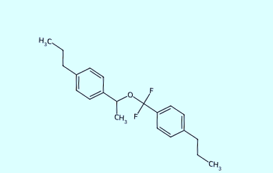 CCCc1ccc(C(C)OC(F)(F)c2ccc(CCC)cc2)cc1